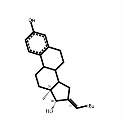 CC(C)(C)/C=C1\CC2C3CCc4cc(O)ccc4C3CC[C@]2(C)[C@H]1O